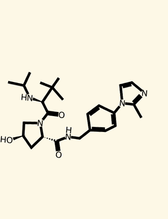 Cc1nccn1-c1ccc(CNC(=O)[C@@H]2C[C@@H](O)CN2C(=O)[C@@H](NC(C)C)C(C)(C)C)cc1